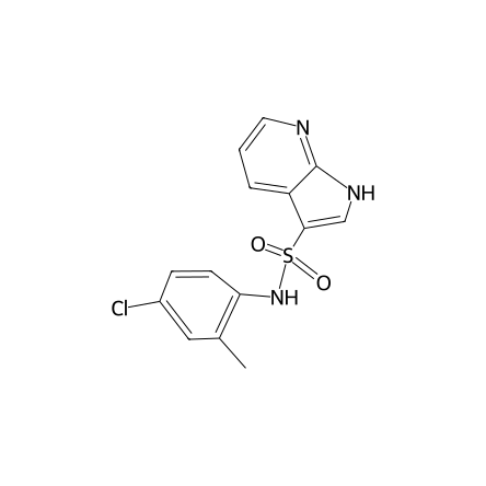 Cc1cc(Cl)ccc1NS(=O)(=O)c1c[nH]c2ncccc12